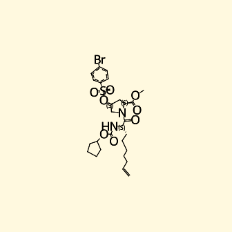 C=CCCCCC[C@H](NC(=O)OC1CCCC1)C(=O)N1C[C@@H](OS(=O)(=O)c2ccc(Br)cc2)C[C@H]1C(=O)OC